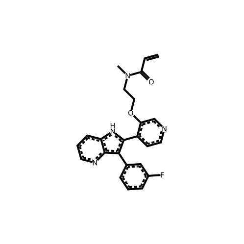 C=CC(=O)N(C)CCOc1cnccc1-c1[nH]c2cccnc2c1-c1cccc(F)c1